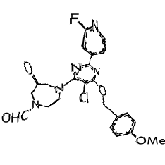 COc1ccc(COc2nc(-c3ccnc(F)c3)nc(N3CCN(C=O)CC(=O)C3)c2Cl)cc1